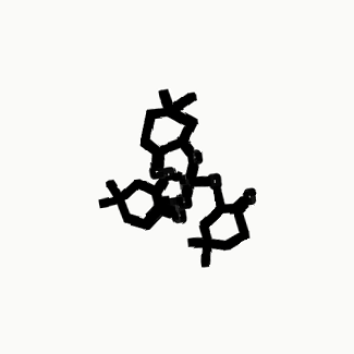 CO[Si](OC1CC(C)(C)CCC1=O)(OC1CC(C)(C)CCC1=O)OC1CC(C)(C)CCC1=O